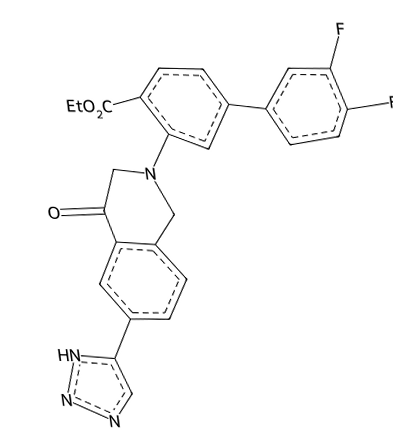 CCOC(=O)c1ccc(-c2ccc(F)c(F)c2)cc1N1CC(=O)c2cc(-c3cnn[nH]3)ccc2C1